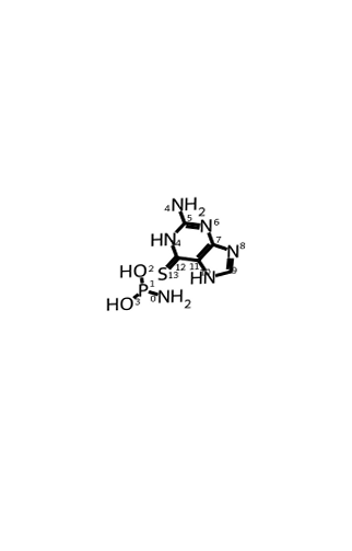 NP(O)O.Nc1nc2nc[nH]c2c(=S)[nH]1